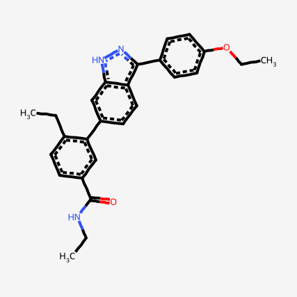 CCNC(=O)c1ccc(CC)c(-c2ccc3c(-c4ccc(OCC)cc4)n[nH]c3c2)c1